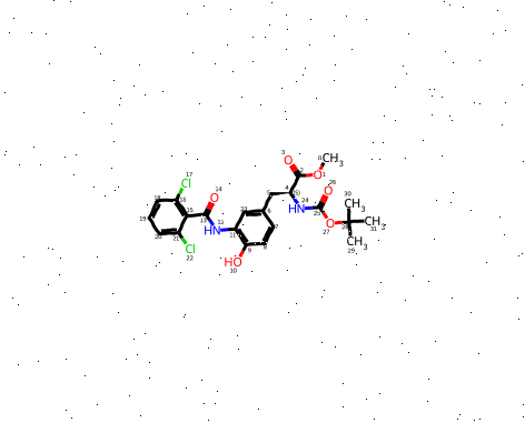 COC(=O)[C@H](Cc1ccc(O)c(NC(=O)c2c(Cl)cccc2Cl)c1)NC(=O)OC(C)(C)C